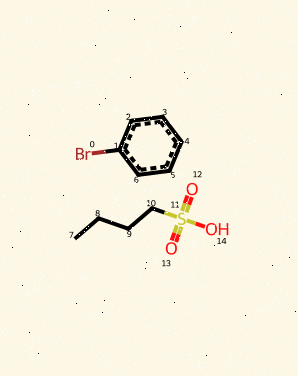 Brc1ccccc1.CCCCS(=O)(=O)O